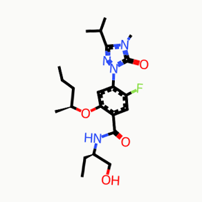 CCC[C@H](C)Oc1cc(-n2nc(C(C)C)n(C)c2=O)c(F)cc1C(=O)N[C@H](CC)CO